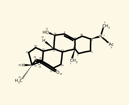 CC(=O)N(C)[C@H]1CC[C@@]2(C)C(=C[C@H](O)[C@@H]3C2CC[C@]24C(=O)O[C@@H](C)[C@H]2CCC34)C1